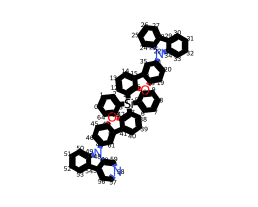 c1ccc([Si](c2ccccc2)(c2cccc3c2oc2ccc(-n4c5ccccc5c5ccccc54)cc23)c2cccc3c2oc2ccc(-n4c5ccccc5c5ccncc54)cc23)cc1